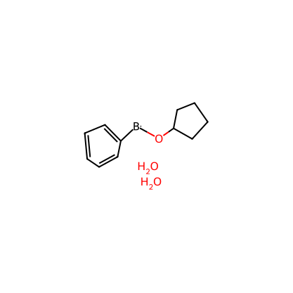 O.O.[B](OC1CCCC1)c1ccccc1